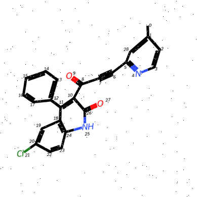 Cc1ccnc(C#CC(=O)c2c(-c3ccccc3)c3cc(Cl)ccc3[nH]c2=O)c1